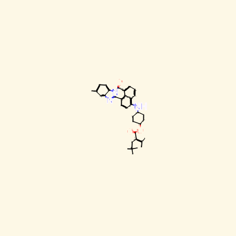 CC(C)=C(CC(C)(C)C)C(=O)OC1CCC(Nc2ccc3c4c2cccc4c(=O)n2c4ccc(C)cc4nc32)CC1